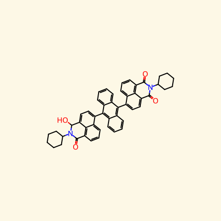 O=C1c2cccc3c(-c4c5ccccc5c(-c5ccc6c7c(cccc57)C(=O)N(C5CCCCC5)C6O)c5ccccc45)ccc(c23)C(=O)N1C1CCCCC1